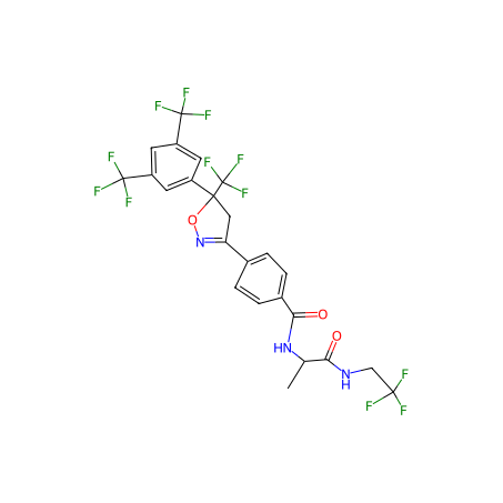 CC(NC(=O)c1ccc(C2=NOC(c3cc(C(F)(F)F)cc(C(F)(F)F)c3)(C(F)(F)F)C2)cc1)C(=O)NCC(F)(F)F